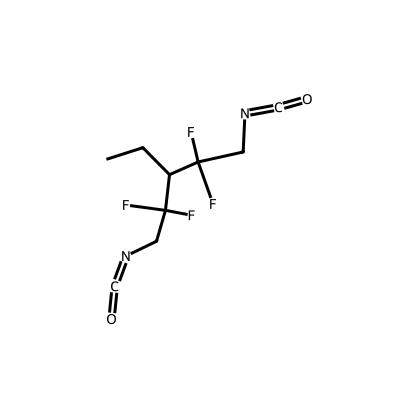 CCC(C(F)(F)CN=C=O)C(F)(F)CN=C=O